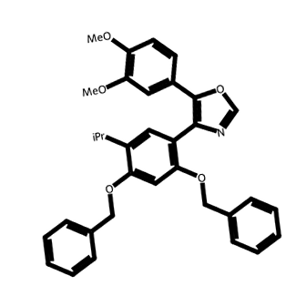 COc1ccc(-c2ocnc2-c2cc(C(C)C)c(OCc3ccccc3)cc2OCc2ccccc2)cc1OC